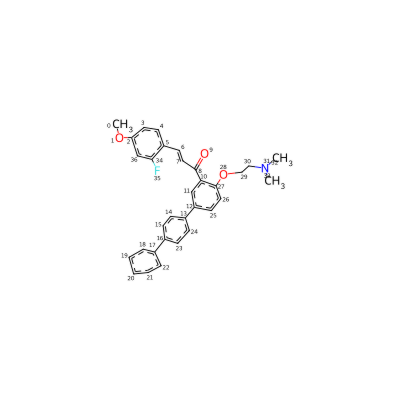 COc1ccc(C=CC(=O)c2cc(-c3ccc(-c4ccccc4)cc3)ccc2OCCN(C)C)c(F)c1